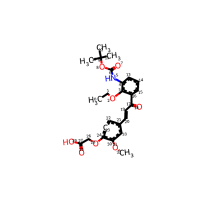 CCOc1c(NC(=O)OC(C)(C)C)cccc1C(=O)C=Cc1ccc(OCC(=O)O)c(OC)c1